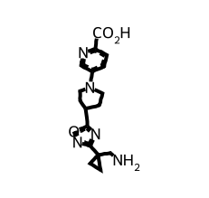 NCC1(c2noc(C3CCN(c4ccc(C(=O)O)nc4)CC3)n2)CC1